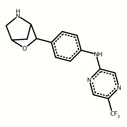 FC(F)(F)c1cnc(Nc2ccc(C3OC4CNC3C4)cc2)cn1